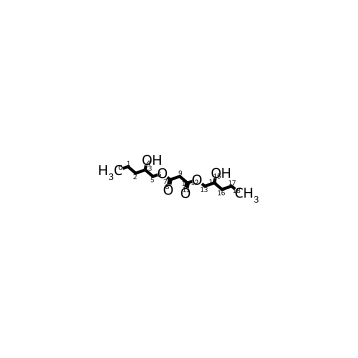 CCCC(O)COC(=O)CC(=O)OCC(O)CCC